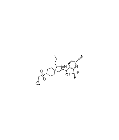 CCCC(C#N)C1(CNC(=O)c2ccc(C#N)nc2C(F)(F)F)CCC(S(=O)(=O)CC2CC2)CC1